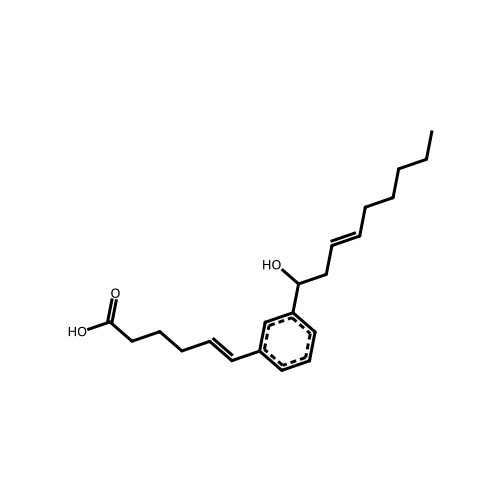 CCCCCC=CCC(O)c1cccc(C=CCCCC(=O)O)c1